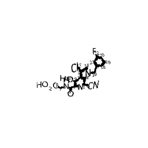 N#Cc1nc(C(=O)NCC(=O)O)c(O)c2c(Cl)cn(Cc3cccc(F)c3)c12